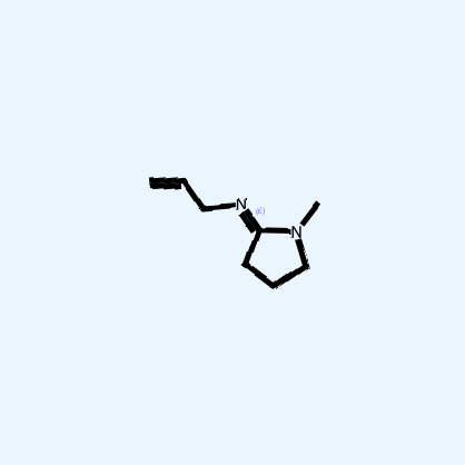 C=CC/N=C1\CCCN1C